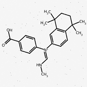 CNC=[N+](c1ccc(C(=O)O)cc1)c1ccc2c(c1)C(C)(C)CCC2(C)C